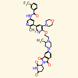 Cc1ncc(NC(=O)c2cccc(C(F)(F)F)c2)cc1-c1cnc(OCCN2CCN(c3ccc4c(c3)C(=O)N(C3CCC(=O)NC3=O)C4=O)CC2C)c(N2CCOCC2)c1